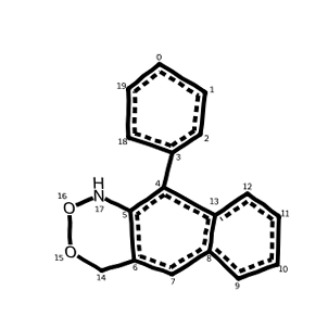 c1ccc(-c2c3c(cc4ccccc24)COON3)cc1